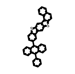 c1ccc(-c2c3ccccc3c(-c3ccc4sc5cc6c(cc5c4c3)sc3ccc4ccccc4c36)c3ccccc23)cc1